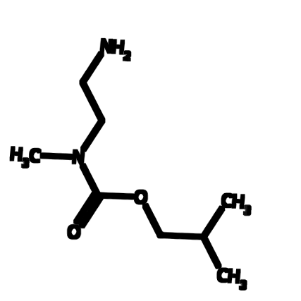 CC(C)COC(=O)N(C)CCN